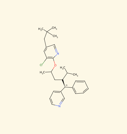 CC(CC(C(C)C)[C@@H](c1ccccc1)c1cccnc1)Oc1ncc(CC(C)(C)C)cc1Cl